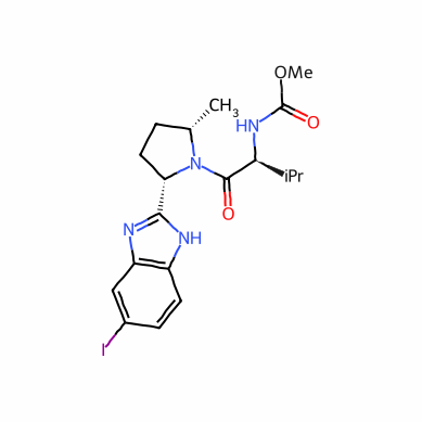 COC(=O)N[C@H](C(=O)N1[C@@H](C)CC[C@H]1c1nc2cc(I)ccc2[nH]1)C(C)C